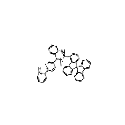 C1=CNC(c2ccc(C3NC(c4cccc5c4-c4ccccc4C54c5ccccc5-c5ccccc54)=Nc4ccccc43)cn2)C=C1